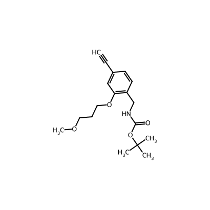 C#Cc1ccc(CNC(=O)OC(C)(C)C)c(OCCCOC)c1